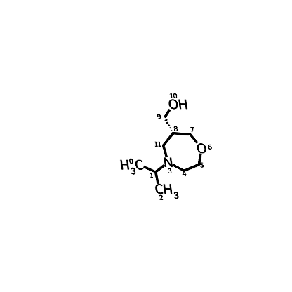 CC(C)N1CCOC[C@@H](CO)C1